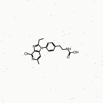 CCc1nc2c(Cl)nc(C)cc2n1-c1ccc(CCNC(=O)O)cc1